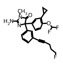 CN1C(=O)C(c2cccc(C#CCCCF)c2)(c2ccc(OC(F)F)c(C3CC3)c2)N=C1N